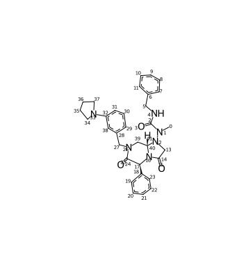 CN(C(=O)NCc1ccccc1)N1CC(=O)N2[C@@H](c3ccccc3)C(=O)N(Cc3cccc(N4CCCC4)c3)C[C@@H]21